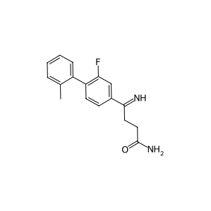 Cc1ccccc1-c1ccc(C(=N)CCC(N)=O)cc1F